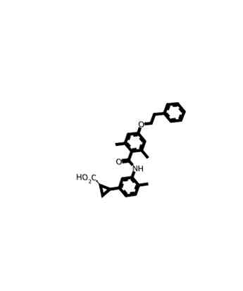 Cc1ccc(C2C[C@@H]2C(=O)O)cc1NC(=O)c1c(C)cc(OCCc2ccccc2)cc1C